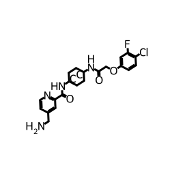 NCc1ccnc(C(=O)NC23CCC(NC(=O)COc4ccc(Cl)c(F)c4)(CC2)CC3)c1